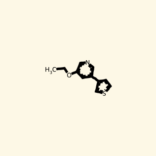 CCOc1cncc(-c2ccsc2)c1